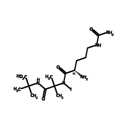 CC(C)(NC(=O)C(C)(C)N(I)C(=O)[C@@H](N)CCCNC(N)=O)C(=O)O